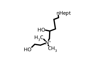 CCCCCCCCCCC(O)C[N+](C)(C)CCO